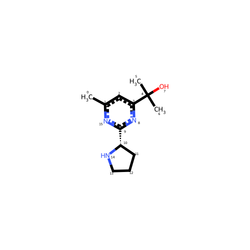 Cc1cc(C(C)(C)O)nc([C@@H]2CCCN2)n1